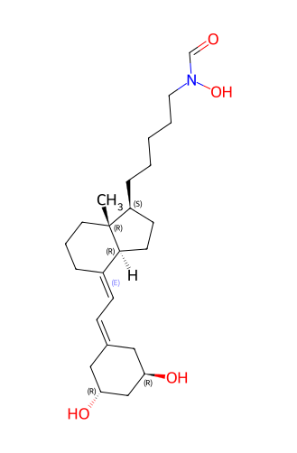 C[C@]12CCC/C(=C\C=C3C[C@@H](O)C[C@H](O)C3)[C@@H]1CC[C@@H]2CCCCCN(O)C=O